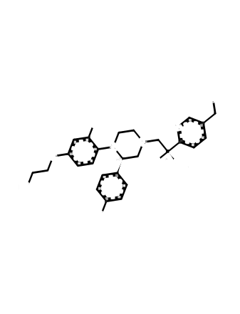 C[C@@](O)(CN1CCN(c2ccc(OCCO)cc2Cl)[C@H](c2ccc(F)cc2)C1)c1ccc(CO)cn1